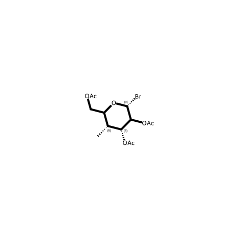 CC(=O)OCC1O[C@H](Br)C(OC(C)=O)[C@H](OC(C)=O)[C@@H]1C